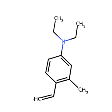 [CH]=Cc1ccc(N(CC)CC)cc1C